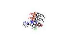 CC(N)Cc1nnc2n1-c1ccc(Cl)cc1C(c1ccccc1)=NC2.Cc1ccc(S(=O)(=O)O)cc1.Cc1ccc(S(=O)(=O)O)cc1.O